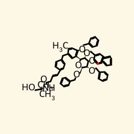 Cc1cc(OCc2ccccc2)c([C@@H]2O[C@H](COCc3ccccc3)[C@@H](OCc3ccccc3)[C@H](OCc3ccccc3)[C@H]2OCc2ccccc2)cc1Cc1ccc(/C=C/CC(=O)NC(C)(C)CO)cc1